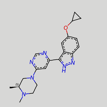 C[C@H]1CN(c2cc(-c3[nH]nc4ccc(OC5CC5)cc34)ncn2)CCN1C